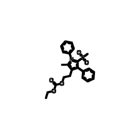 CCOC(=O)OCCc1c(-c2ccccc2)c(S(C)(=O)=O)n(-c2ccccc2)c1C